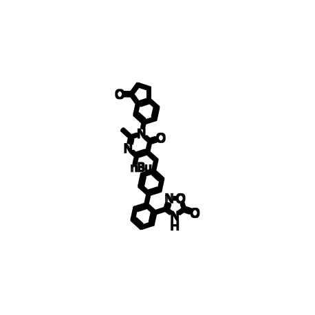 CCCCc1nc(C)n(-c2ccc3c(c2)C(=O)CC3)c(=O)c1Cc1ccc(-c2ccccc2-c2noc(=O)[nH]2)cc1